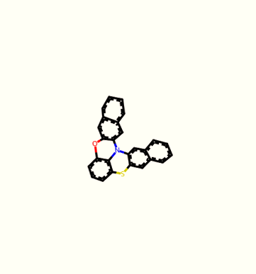 c1cc2c3c(c1)Sc1cc4ccccc4cc1N3c1cc3ccccc3cc1O2